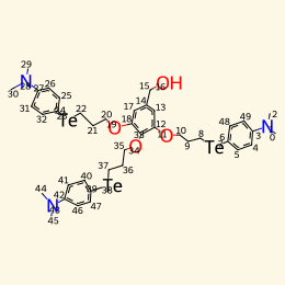 CN(C)c1ccc([Te]CCCOc2cc(CO)cc(OCCC[Te]c3ccc(N(C)C)cc3)c2OCCC[Te]c2ccc(N(C)C)cc2)cc1